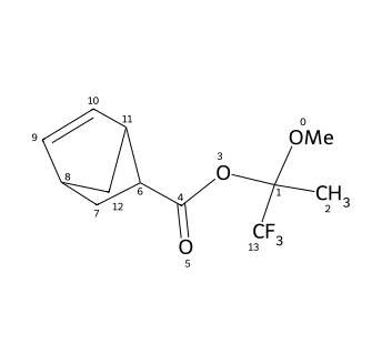 COC(C)(OC(=O)C1CC2C=CC1C2)C(F)(F)F